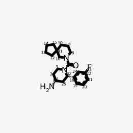 N[C@@H]1CCN(C(=O)N2CCCC3(CCCC3)C2)[C@H](c2cccc(F)c2)C1